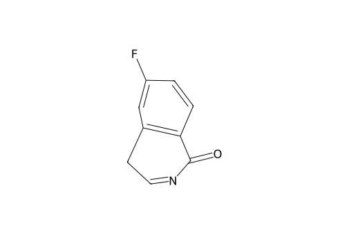 O=C1N=CCc2cc(F)ccc21